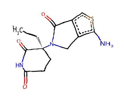 CC[C@]1(N2Cc3c(csc3N)C2=O)CCC(=O)NC1=O